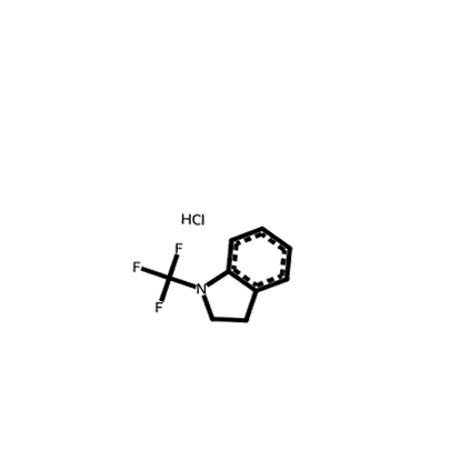 Cl.FC(F)(F)N1CCc2ccccc21